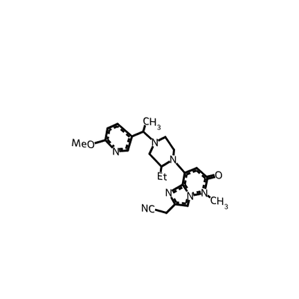 CCC1CN(C(C)c2ccc(OC)nc2)CCN1c1cc(=O)n(C)n2cc(CC#N)nc12